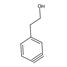 OCCc1cc#ccc1